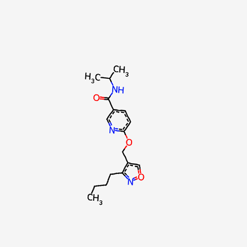 CCCCc1nocc1COc1ccc(C(=O)NC(C)C)cn1